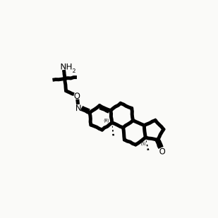 CC(C)(N)CON=C1C=C2CCC3C(CC[C@]4(C)C(=O)CCC34)[C@@]2(C)CC1